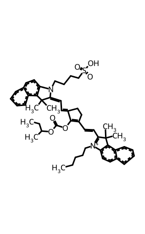 CCCCC[N+]1=C(/C=C/C2=C(OC(=O)OC(C)CC)C(=C/C=C3/N(CCCCS(=O)(=O)O)c4ccc5ccccc5c4C3(C)C)/CC2)C(C)(C)c2c1ccc1ccccc21